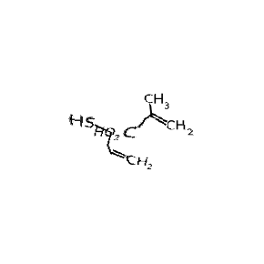 C=C(C)C(=O)O.C=CCS